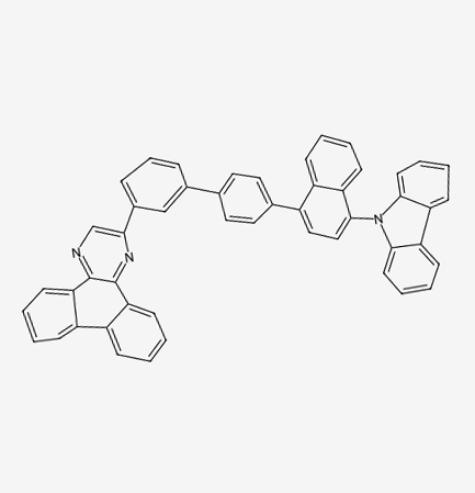 c1cc(-c2ccc(-c3ccc(-n4c5ccccc5c5ccccc54)c4ccccc34)cc2)cc(-c2cnc3c4ccccc4c4ccccc4c3n2)c1